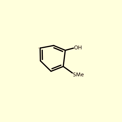 CSc1cc[c]cc1O